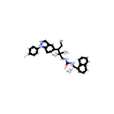 CC(C)CC(c1ccc2c(cnn2-c2ccc(F)cc2)c1)C(C)(C)CNC(=O)N[C@@H](C)c1cccc2ccccc12